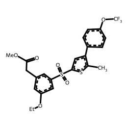 CCOc1cc(CC(=O)OC)cc(S(=O)(=O)c2cc(-c3ccc(OC(F)(F)F)cc3)c(C)s2)c1